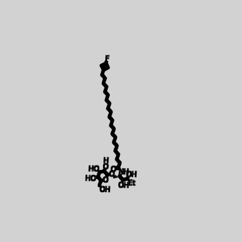 CC[C@@H](O)[C@@H](O)[C@H](COC1OC(CO)C(O)C(O)C1O)NC(=O)CCCCCCCCCCCCCCCCCCCCCCC12CC(F)(C1)C2